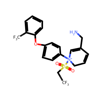 NCC1=C[N+](c2ccc(Oc3ccccc3C(F)(F)F)cc2)(S(=O)(=O)CC(F)(F)F)CC=C1